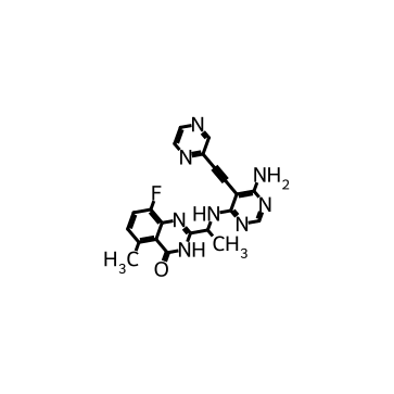 Cc1ccc(F)c2nc(C(C)Nc3ncnc(N)c3C#Cc3cnccn3)[nH]c(=O)c12